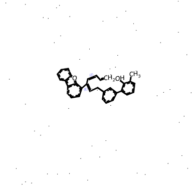 C=C/C=C\C(=C/Cc1cccc(-c2cccc(C)c2O)c1)c1cccc2c1oc1ccccc12